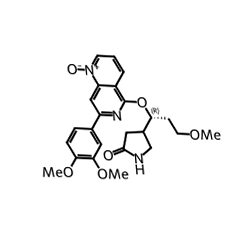 COCC[C@@H](Oc1nc(-c2ccc(OC)c(OC)c2)cc2c1ccc[n+]2[O-])C1CNC(=O)C1